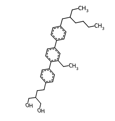 CCCCC(CC)Cc1ccc(-c2ccc(-c3ccc(CCC(CO)CO)cc3)c(CC)c2)cc1